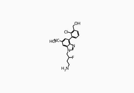 Cl.N#Cc1cc(-c2cccc(CO)c2Cl)c2ncn(CC(F)CCN)c2c1